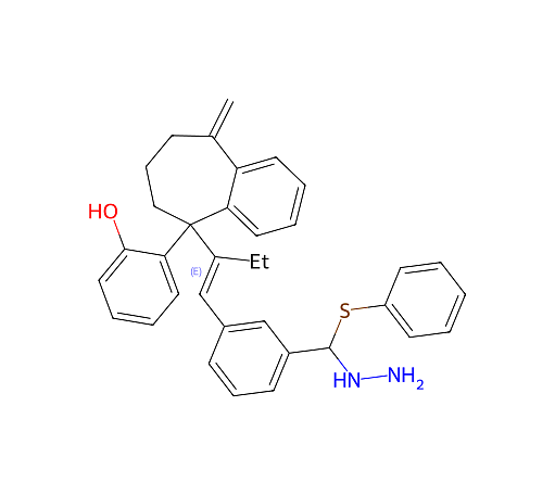 C=C1CCCC(/C(=C/c2cccc(C(NN)Sc3ccccc3)c2)CC)(c2ccccc2O)c2ccccc21